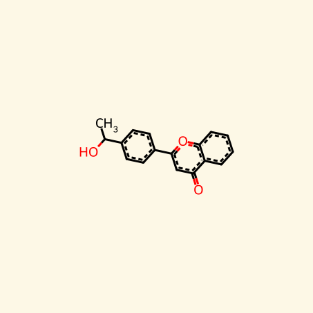 CC(O)c1ccc(-c2cc(=O)c3ccccc3o2)cc1